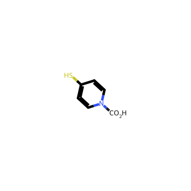 O=C(O)N1C=C=C(S)C=C1